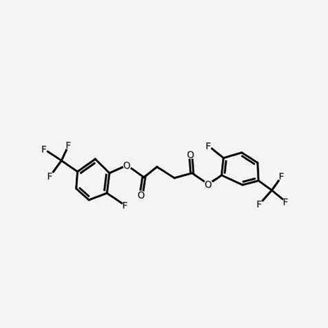 O=C(CCC(=O)Oc1cc(C(F)(F)F)ccc1F)Oc1cc(C(F)(F)F)ccc1F